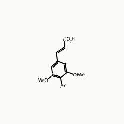 COc1cc(C=CC(=O)O)cc(OC)c1C(C)=O